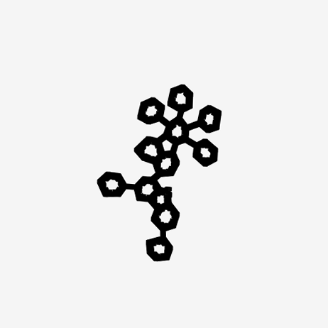 c1ccc(-c2ccc3sc4c(-c5ccc6c7c(cccc57)-c5c(-c7ccccc7)c(-c7ccccc7)c(-c7ccccc7)c(-c7ccccc7)c5-6)cc(-c5ccccc5)cc4c3c2)cc1